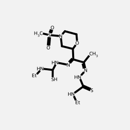 CCNC(=S)N/N=C(C)\C(=N\NC(S)NCC)C1CN(S(C)(=O)=O)CCO1